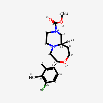 Cc1c([C@@H]2CN3CCN(C(=O)OC(C)(C)C)C[C@@H]3CCO2)ccc(F)c1C#N